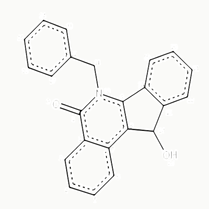 O=c1c2ccccc2c2c(n1Cc1ccccc1)-c1ccccc1C2O